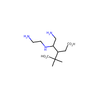 CC(C)(C(=O)O)C(CC(=O)O)C(CN)NCCN